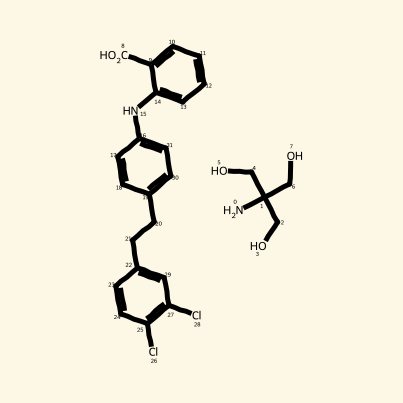 NC(CO)(CO)CO.O=C(O)c1ccccc1Nc1ccc(CCc2ccc(Cl)c(Cl)c2)cc1